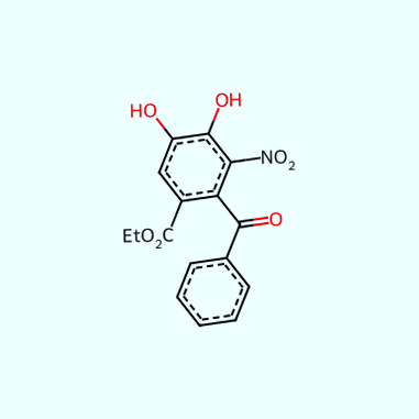 CCOC(=O)c1cc(O)c(O)c([N+](=O)[O-])c1C(=O)c1ccccc1